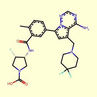 Cc1ccc(-c2cc(CN3CCC(F)(F)CC3)c3c(N)ncnn23)cc1C(=O)N[C@@H]1CN(C(=O)O)C[C@@H]1F